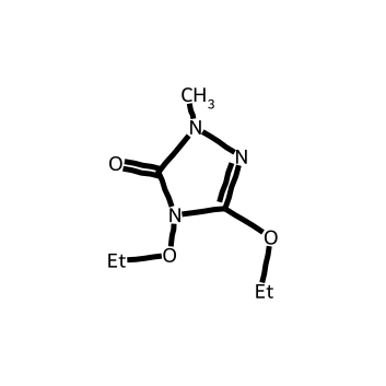 CCOc1nn(C)c(=O)n1OCC